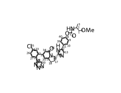 COCC(C)NC(=O)Oc1ccc(-c2cnc([C@@H]3CCc4cc(-c5cc(Cl)ccc5-n5cnnn5)cc(=O)n43)[nH]2)cc1